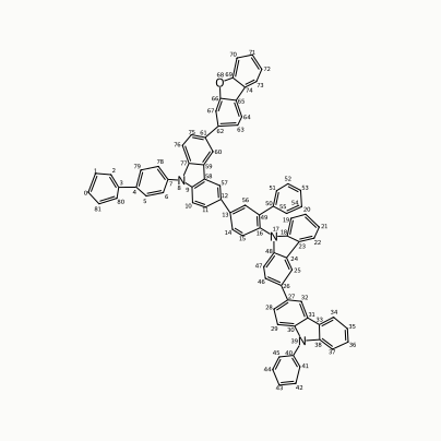 c1ccc(-c2ccc(-n3c4ccc(-c5ccc(-n6c7ccccc7c7cc(-c8ccc9c(c8)c8ccccc8n9-c8ccccc8)ccc76)c(-c6ccccc6)c5)cc4c4cc(-c5ccc6c(c5)oc5ccccc56)ccc43)cc2)cc1